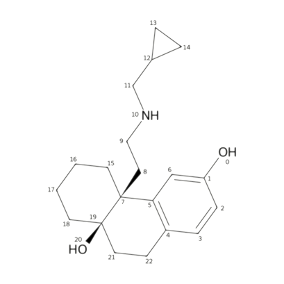 Oc1ccc2c(c1)[C@@]1(CCNCC3CC3)CCCC[C@@]1(O)CC2